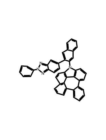 c1ccc(-n2nc3ccc(-c4cc5ccccc5cc4-n4c5cccc6c5c5c7c(cccc7ccc54)-c4ccccc4-6)cc3n2)cc1